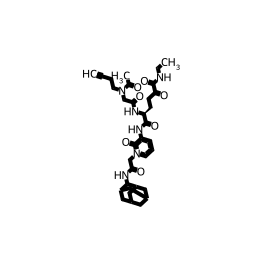 C#CCCN(CC(=O)N[C@@H](CCC(=O)C(=O)NCC)C(=O)Nc1cccn(CC(=O)NC2C3CC4CC(C3)CC2C4)c1=O)C(C)=O